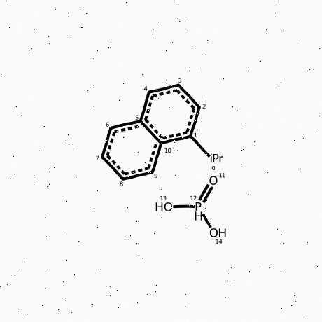 CC(C)c1cccc2ccccc12.O=[PH](O)O